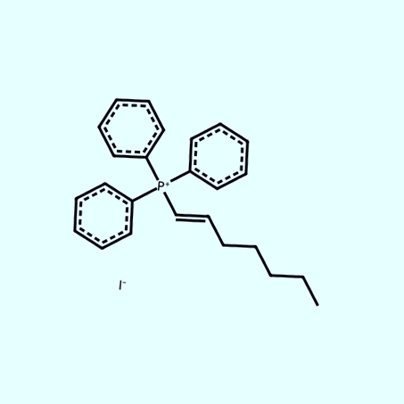 CCCCCC=C[P+](c1ccccc1)(c1ccccc1)c1ccccc1.[I-]